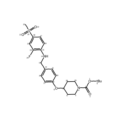 CC(C)(C)OC(=O)N1CCC(Oc2ccc(CNc3ccc(S(C)(=O)=O)cc3F)cc2)CC1